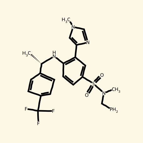 C[C@H](Nc1ccc(S(=O)(=O)N(C)CP)cc1-c1cn(C)cn1)c1ccc(C(F)(F)F)cc1